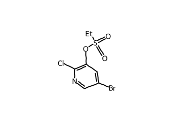 CCS(=O)(=O)Oc1cc(Br)cnc1Cl